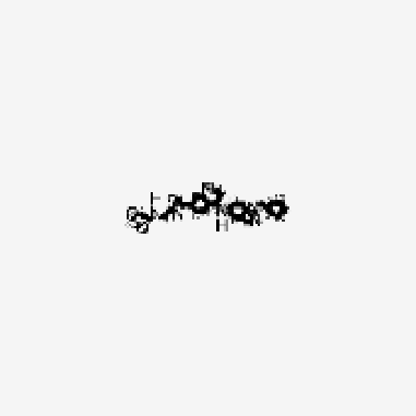 CS(=O)(=O)CCNCc1nc(-c2ccc3c(Nc4ccc5c(cnn5Cc5ccccc5)c4)ccnc3c2)cs1